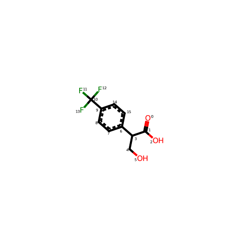 O=C(O)C(CO)c1ccc(C(F)(F)F)cc1